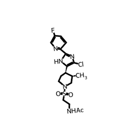 CC(=O)NCCS(=O)(=O)N1CC[C@@H](c2[nH]c(-c3ccc(F)cn3)nc2Cl)[C@@H](C)C1